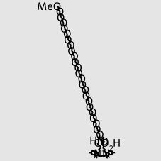 COCCOCCOCCOCCOCCOCCOCCOCCOCCOCCOCCOCCOCCOCCOCCOCCOCCOCCOCCOCCOCCOCCOCCOCCNC(=O)CCCCCN1C(=CC=CC2=[N+](CCCCCC(=O)O)c3ccc(C)cc3C2(C)C)C(C)(C)c2cc(C)ccc21